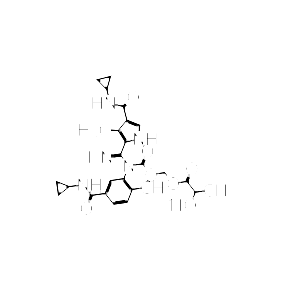 Cc1ccc(C(=O)NC2CC2)cc1N(C(=N)c1[nH]cc(C(=O)NC2CC2)c1C)C(=O)OCOC(=O)C(C)O